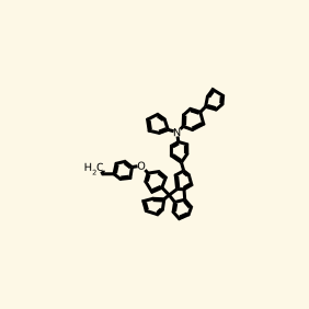 C=Cc1ccc(Oc2ccc(C3(c4ccccc4)c4ccccc4-c4ccc(-c5ccc(N(c6ccccc6)c6ccc(-c7ccccc7)cc6)cc5)cc43)cc2)cc1